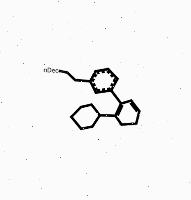 CCCCCCCCCCCCc1cccc(C2=C(C3CCCCC3)[CH]CC=C2)c1